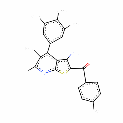 COc1ccc(C(=O)c2sc3nc(C)c(C(=O)O)c(-c4cc(OC)c(OC)c(OC)c4)c3c2N)cc1